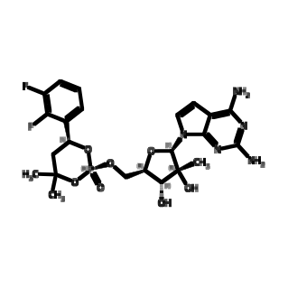 CC1(C)C[C@@H](c2cccc(F)c2F)O[P@@](=O)(OC[C@H]2O[C@@H](n3ccc4c(N)nc(N)nc43)[C@](C)(O)[C@@H]2O)O1